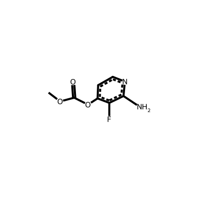 COC(=O)Oc1ccnc(N)c1F